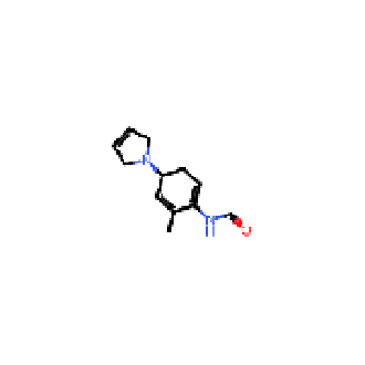 CC1=CC(N2CC=CC2)CC=C1NC=O